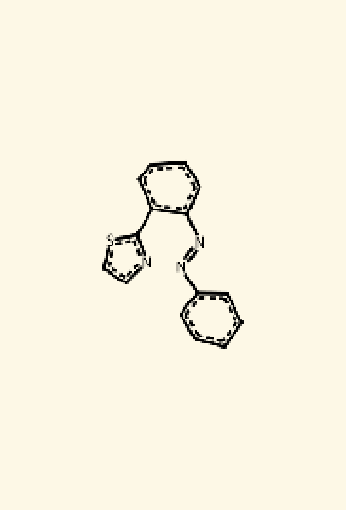 c1ccc(/N=N/c2ccccc2-c2nccs2)cc1